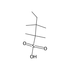 CCC(C)(C)C(C)(C)S(=O)(=O)O